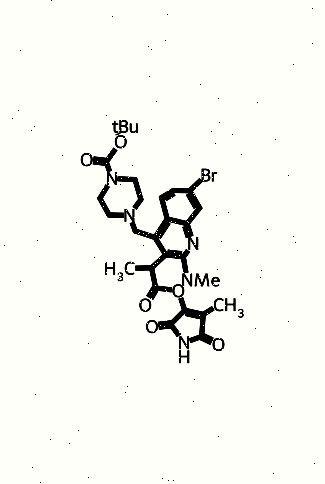 CNc1nc2cc(Br)ccc2c(CN2CCN(C(=O)OC(C)(C)C)CC2)c1C(C)C(=O)OC1=C(C)C(=O)NC1=O